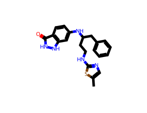 Cc1cnc(NCCC(Cc2ccccc2)Nc2ccc3c(=O)[nH][nH]c3c2)s1